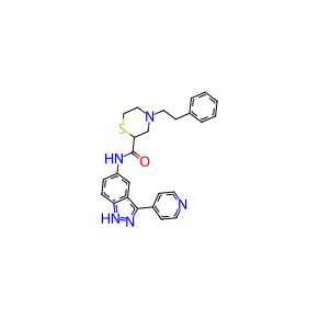 O=C(Nc1ccc2[nH]nc(-c3ccncc3)c2c1)C1CN(CCc2ccccc2)CCS1